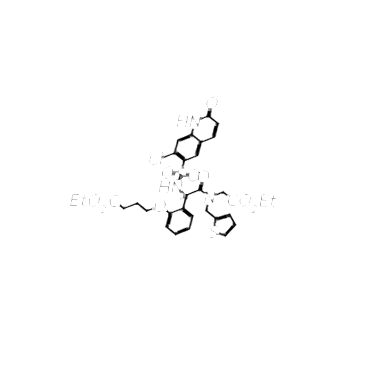 CCOC(=O)CCCOc1ccccc1[C@@H](NS(=O)(=O)c1cc2ccc(=O)[nH]c2cc1Cl)C(=O)N(CC(=O)OCC)Cc1cccs1